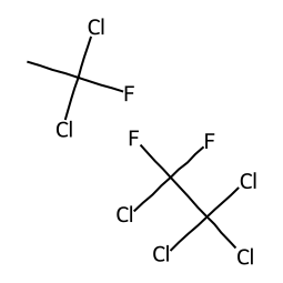 CC(F)(Cl)Cl.FC(F)(Cl)C(Cl)(Cl)Cl